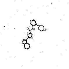 O=C(Nc1cnccc1N1CCNCC1)c1nnc(-c2csc3ccccc23)s1